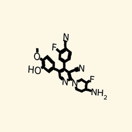 COc1ccc(-c2cnc(N3CCC(N)C(F)C3)c(C#N)c2-c2ccc(C#N)c(F)c2)cc1O